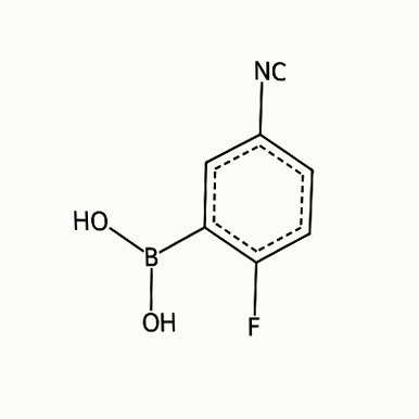 [C-]#[N+]c1ccc(F)c(B(O)O)c1